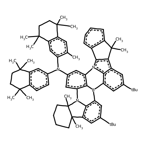 Cc1cc2c(cc1N(c1cc3c4c(c1)-n1c5c(c6cc(C(C)(C)C)cc(c61)B4c1cc(C(C)(C)C)cc4c1N3C1(C)CCCCC41C)C(C)(C)c1ccccc1-5)c1ccc3c(c1)C(C)(C)CCC3(C)C)C(C)(C)CCC2(C)C